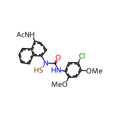 COc1cc(OC)c(NC(=O)N(S)c2ccc(NC(C)=O)c3ccccc23)cc1Cl